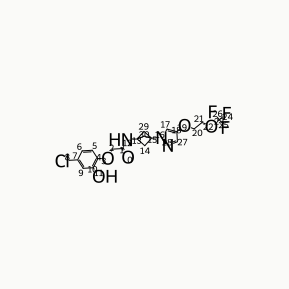 O=C(COc1ccc(Cl)cc1O)NC12CC(n3cc(OCCOC(F)(F)F)cn3)(C1)C2